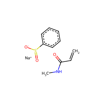 C=CC(=O)NC.O=S([O-])c1ccccc1.[Na+]